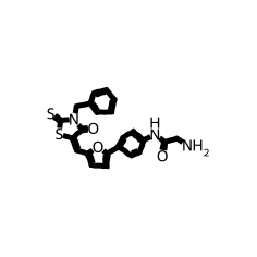 NCC(=O)Nc1ccc(-c2ccc(C=C3SC(=S)N(Cc4ccccc4)C3=O)o2)cc1